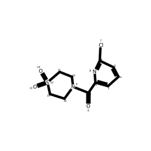 O=C(c1cccc(Cl)n1)N1CCS(=O)(=O)CC1